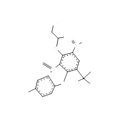 CCC(C)Nc1c([N+](=O)[O-])cc(C(F)(F)F)c(Oc2ccc(Cl)cc2)c1[N+](=O)[O-]